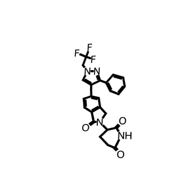 O=C1CCC(N2Cc3cc(-c4cn(CC(F)(F)F)nc4-c4ccccc4)ccc3C2=O)C(=O)N1